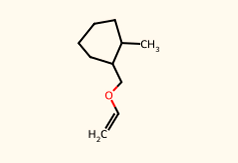 C=COCC1CCCCC1C